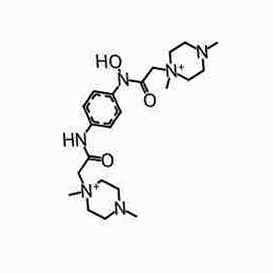 CN1CC[N+](C)(CC(=O)Nc2ccc(N(O)C(=O)C[N+]3(C)CCN(C)CC3)cc2)CC1